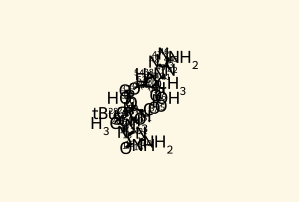 C[C@@H]1[C@@H]2OP(=O)(O)OC[C@H]3O[C@@H](n4cnc5c(=O)[nH]c(N)nc54)[C@H](O[Si](C)(C)C(C)(C)C)[C@@H]3OP(=O)(O)OC[C@H]2[C@@H]2CC12n1cnc2c(N)ncnc21